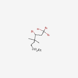 CCOC(=O)CC(C)(C)C(Br)CC(Br)(Br)Br